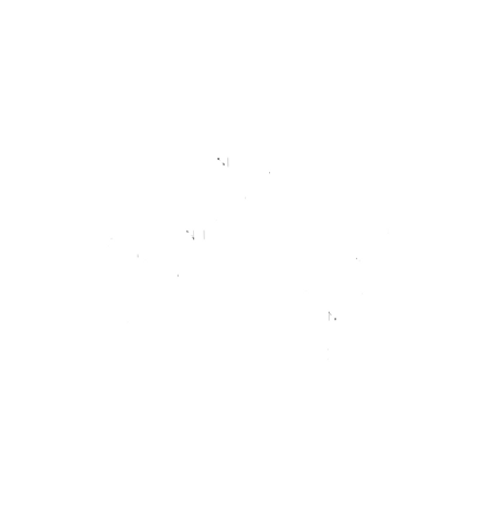 Cn1sc(=O)c2cc(S(=O)(=O)Nc3cccc(Cl)c3NS(=O)(=O)c3cccs3)ccc21